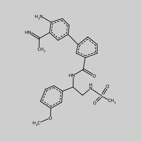 COc1cccc(C(CNS(C)(=O)=O)NC(=O)c2cccc(-c3ccc(N)c(C(C)=N)c3)c2)c1